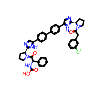 O=C(O)N[C@@H](C(=O)N1CCC[C@H]1c1ncc(-c2ccc(-c3ccc(-c4cnc([C@@H]5CCCN5C(=O)Cc5cccc(Cl)c5)[nH]4)cc3)cc2)[nH]1)c1ccccc1